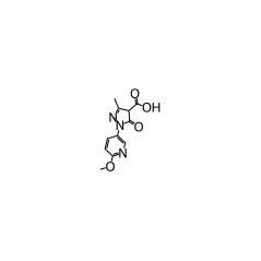 COc1ccc(N2N=C(C)C(C(=O)O)C2=O)cn1